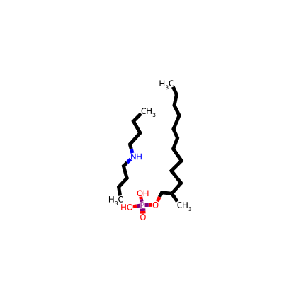 CCCCCCCCCCC(C)COP(=O)(O)O.CCCCNCCCC